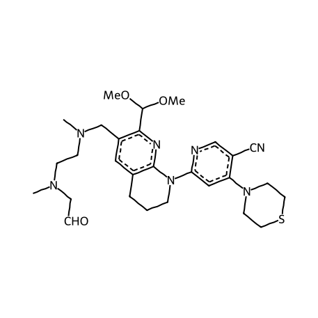 COC(OC)c1nc2c(cc1CN(C)CCN(C)CC=O)CCCN2c1cc(N2CCSCC2)c(C#N)cn1